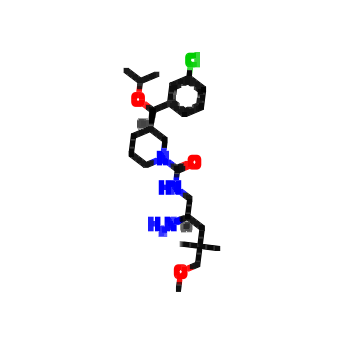 COCC(C)(C)C[C@@H](N)CNC(=O)N1CCC[C@@H](C(OC(C)C)c2cccc(Cl)c2)C1